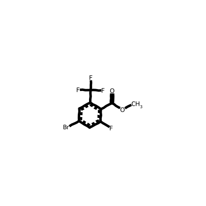 COC(=O)c1c(F)cc(Br)cc1C(F)(F)F